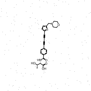 C[C@@H](O)[C@H](NC(=O)c1ccc(C#CC#Cc2ccc(CN3CCOCC3)s2)cc1)C(=O)O